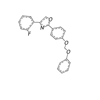 Fc1ccccc1-c1coc(-c2ccc(OCOc3ccccc3)cc2)n1